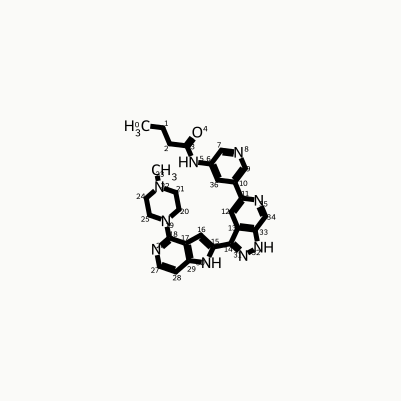 CCCC(=O)Nc1cncc(-c2cc3c(-c4cc5c(N6CCN(C)CC6)nccc5[nH]4)n[nH]c3cn2)c1